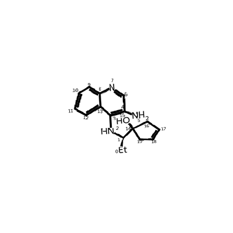 CC[C@@H](Nc1c(N)cnc2ccccc12)C1(O)CC=CC1